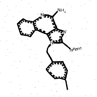 CCCCCc1nc2c(N)nc3ccccc3c2n1Cc1ccc(C)cc1